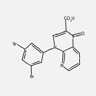 O=C(O)c1cn(-c2cc(Br)cc(Br)c2)c2ncccc2c1=O